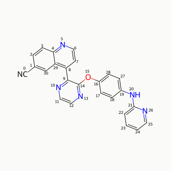 N#Cc1ccc2nccc(-c3nccnc3Oc3ccc(Nc4ccccn4)cc3)c2c1